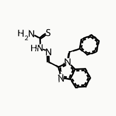 NC(=S)NN=Cc1nc2ccccc2n1Cc1ccccc1